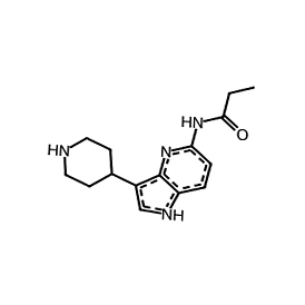 CCC(=O)Nc1ccc2[nH]cc(C3CCNCC3)c2n1